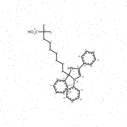 CC(C)(CCCCCCCC1(c2ccccc2)NC(c2ccccc2)=CN1c1ccccc1)C(=O)O